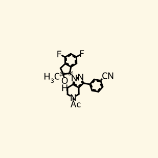 CC(=O)N1CCc2c(c(-c3cccc(C#N)c3)nn2[C@@H]2c3cc(F)cc(F)c3C[C@]2(C)O)C1